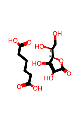 O=C(O)CCCCC(=O)O.O=C1O[C@H]([C@@H](O)CO)C(O)=C1O